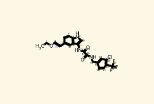 CCO/C=C/c1ccc2[nH]cc(NC(=O)C(=O)NCc3ccc(C(F)(F)F)c(Cl)c3)c2c1